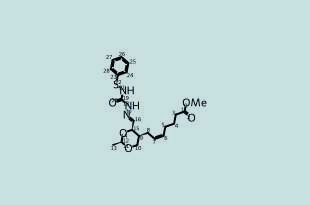 COC(=O)CCC/C=C\C[C@H]1CO[C@@H](C)O[C@H]1/C=N/NC(=O)NSc1ccccc1